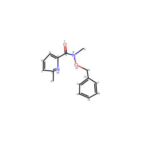 Cc1cccc(C(=O)N(C)OCc2ccccc2)n1